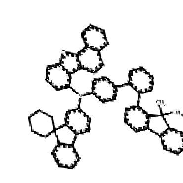 CC1(C)c2ccccc2-c2cccc(-c3ccccc3-c3ccc(N(c4ccc5c(c4)C4(CCCCC4)c4ccccc4-5)c4cccc5oc6c7ccccc7ccc6c45)cc3)c21